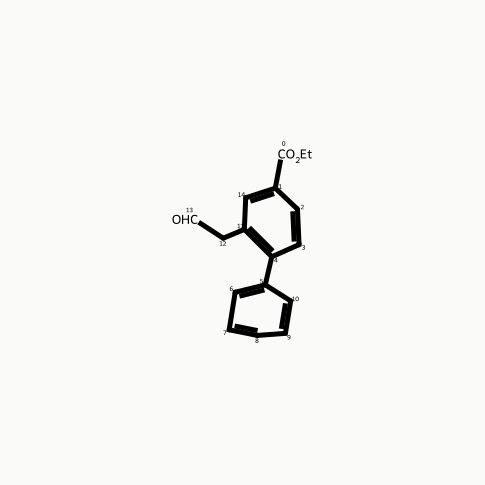 CCOC(=O)c1ccc(-c2ccccc2)c(CC=O)c1